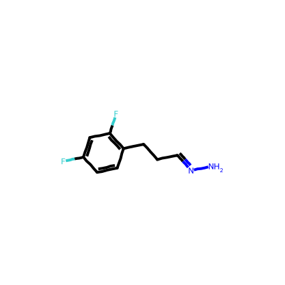 NN=CCCc1ccc(F)cc1F